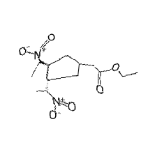 CCOC(=O)CC1C[C@H](C(C)[N+](=O)[O-])[C@@H](C(C)[N+](=O)[O-])C1